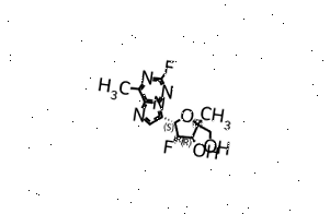 Cc1nc(F)nn2c([C@@H]3O[C@](C)(CO)[C@@H](O)[C@H]3F)cnc12